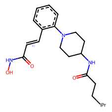 CC(C)CCC(=O)NC1CCN(c2ccccc2/C=C/C(=O)NO)CC1